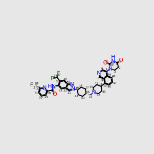 O=C1CCN(c2cncc3c(C4CCN(C[C@H]5CC[C@H](n6cc7cc(NC(=O)c8cccc(C(F)(F)F)n8)c(C(F)F)cc7n6)CC5)CC4)cccc23)C(=O)N1